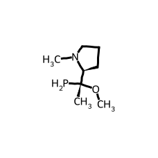 CO[C@](C)(P)[C@@H]1CCCN1C